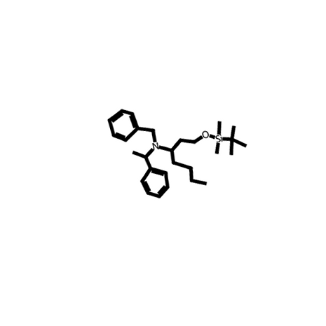 CCCCC(CCO[Si](C)(C)C(C)(C)C)N(Cc1ccccc1)C(C)c1ccccc1